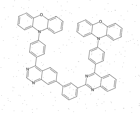 c1cc(-c2ccc3c(-c4ccc(N5c6ccccc6Oc6ccccc65)cc4)ncnc3c2)cc(-c2nc(-c3ccc(N4c5ccccc5Oc5ccccc54)cc3)c3ccccc3n2)c1